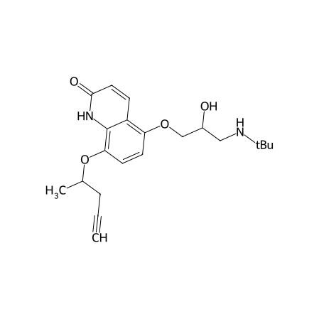 C#CCC(C)Oc1ccc(OCC(O)CNC(C)(C)C)c2ccc(=O)[nH]c12